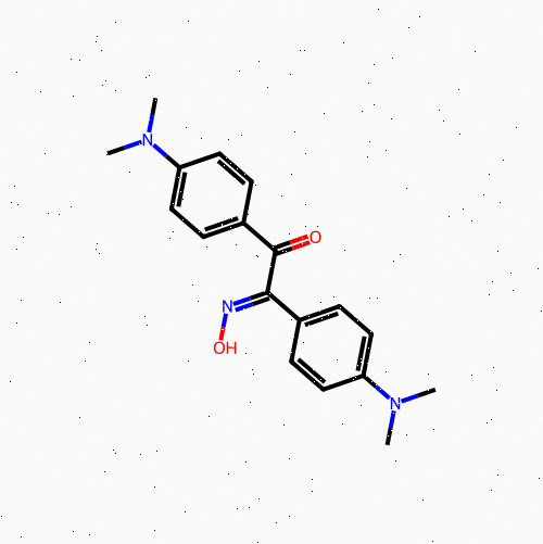 CN(C)c1ccc(C(=O)C(=NO)c2ccc(N(C)C)cc2)cc1